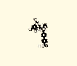 COCCN(CC(=O)CN[C@@H](CN1CCCC1)c1ccc(-c2ccc(C(=O)O)cc2)cc1)c1ccc(Cl)c(Cl)c1